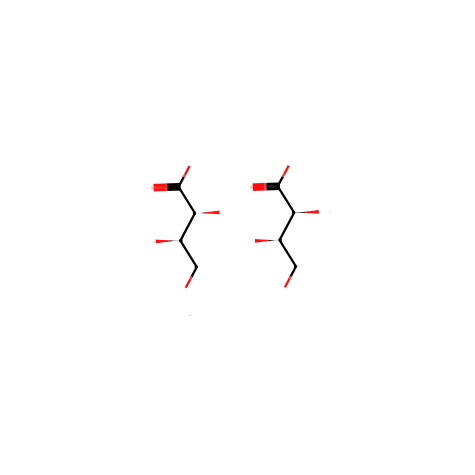 O=C([O-])[C@@H](O)[C@H](O)CO.O=C([O-])[C@@H](O)[C@H](O)CO.[Fe+2]